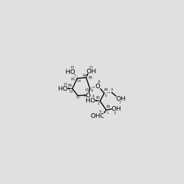 O=C[C@H](O)[C@@H](O)[C@@H](CO)O[C@@H]1OC[C@@H](O)[C@H](O)[C@H]1O